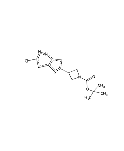 CC(C)(C)OC(=O)N1CC(c2cc3nnc(Cl)cc3s2)C1